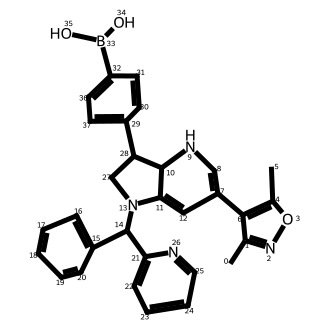 Cc1noc(C)c1C1=CNC2C(=C1)N(C(c1ccccc1)c1ccccn1)CC2c1ccc(B(O)O)cc1